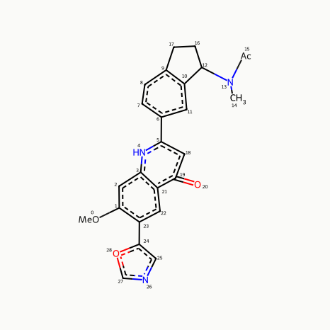 COc1cc2[nH]c(-c3ccc4c(c3)C(N(C)C(C)=O)CC4)cc(=O)c2cc1-c1cnco1